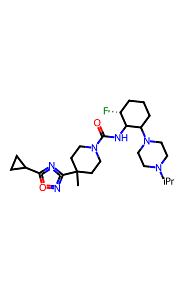 CC(C)N1CCN(C2CCC[C@@H](F)C2NC(=O)N2CCC(C)(c3noc(C4CC4)n3)CC2)CC1